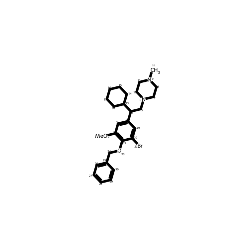 COc1cc(C(CN2CCN(C)CC2)C2CCCCC2)cc(Br)c1OCc1ccccc1